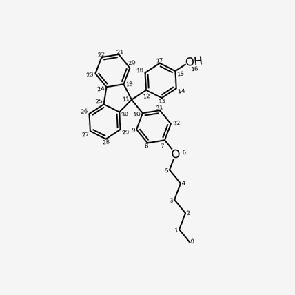 CCCCCCOc1ccc(C2(c3ccc(O)cc3)c3ccccc3-c3ccccc32)cc1